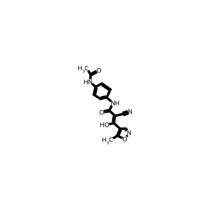 CC(=O)Nc1ccc(NC(=O)/C(C#N)=C(\O)c2cnoc2C)cc1